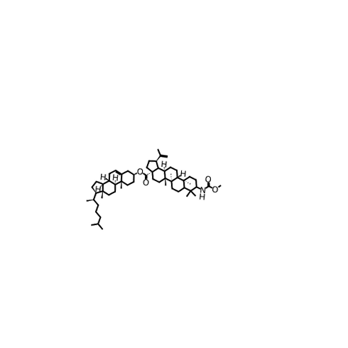 C=C(C)[C@@H]1CC[C@]2(C(=O)O[C@H]3CC[C@@]4(C)C(=CC[C@H]5[C@@H]6CC[C@H]([C@H](C)CCCC(C)C)[C@@]6(C)CC[C@@H]54)C3)CC[C@]3(C)[C@H](CC[C@@H]4[C@@]5(C)CCC(NC(=O)OC)C(C)(C)C5CC[C@]43C)C12